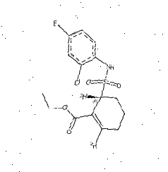 [2H]C1=C(C(=O)OCC)[C@]([2H])(S(=O)(=O)Nc2ccc(F)cc2Cl)CCC1